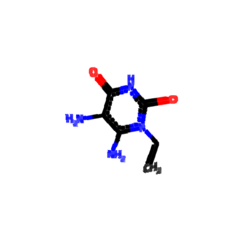 C=Cn1c(N)c(N)c(=O)[nH]c1=O